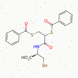 O=C(SCC(SC(=O)c1ccccc1)C(=O)N[C@@H](CS)C(=O)O)c1ccccc1